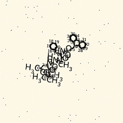 CC(C)C[C@H](NC(=O)NN(C)C(=O)[C@H](Cc1ccccc1)NC(=O)OCC1c2ccccc2-c2ccccc21)C(=O)OC(C)(C)C